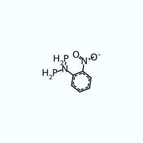 O=[N+]([O-])c1ccccc1N(P)P